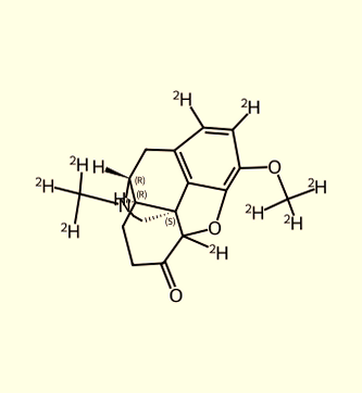 [2H]c1c([2H])c(OC([2H])([2H])[2H])c2c3c1C[C@@H]1[C@@H]4CCC(=O)C([2H])(O2)[C@]34CCN1C([2H])([2H])[2H]